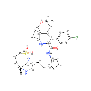 CC1(C)CC([C@H](c2ccc(Cl)cc2)[C@H](NC2CCC2)C(=O)N[C@H]2CCC[C@@H]2CC[C@H]2CN[C@@H]3CCCS(=O)(=O)N2C3)CCO1